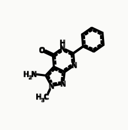 Cn1nc2nc(-c3ccccc3)[nH]c(=O)c2c1N